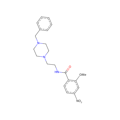 COc1cc([N+](=O)[O-])ccc1C(=O)NCCN1CCN(Cc2ccccc2)CC1